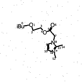 CCC(C)OCCOC(=O)Cn1cc[n+](C)c1C